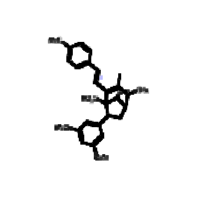 COc1ccc(/C=C/C2=C(C)C(OC(C)=O)C3CC(c4cc(OC)cc(OC)c4)C2(C(=O)O)C3OC(C)=O)cc1